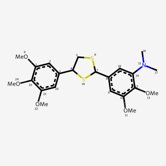 COc1cc(C2CSC(c3cc(OC)c(OC)c(N(C)C)c3)S2)cc(OC)c1OC